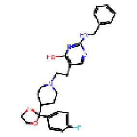 Oc1nc(NCc2ccccc2)ncc1CCN1CCC(C2(c3ccc(F)cc3)OCCO2)CC1